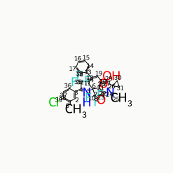 Cc1cc(C(NC2(C(F)(F)F)CC(c3ccccc3)=CC=C2C(=O)N(C)C2(C(=O)O)CC2)C(F)(F)F)ccc1Cl